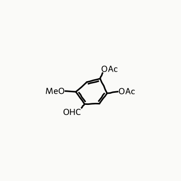 COc1cc(OC(C)=O)c(OC(C)=O)cc1C=O